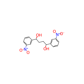 O=[N+]([O-])c1cccc([C@@H](O)CC[C@H](O)c2cccc([N+](=O)[O-])c2)c1